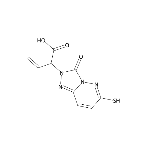 C=CC(C(=O)O)n1nc2ccc(S)nn2c1=O